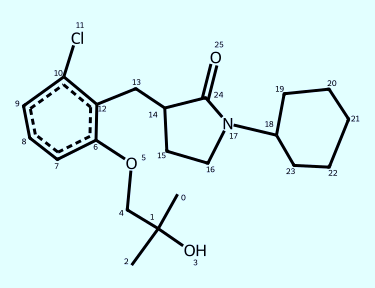 CC(C)(O)COc1cccc(Cl)c1CC1CCN(C2CCCCC2)C1=O